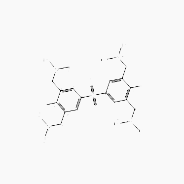 CC(C)N(Cc1cc(S(=O)(=O)c2cc(CN(C(C)C)C(C)C)c(O)c(CN(C(C)C)C(C)C)c2)cc(CN(C(C)C)C(C)C)c1O)C(C)C